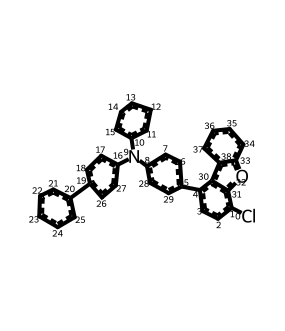 Clc1ccc(-c2ccc(N(c3ccccc3)c3ccc(-c4ccccc4)cc3)cc2)c2c1oc1ccccc12